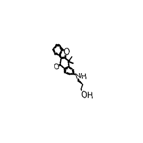 CC1(C)c2cc(NCCCO)ccc2C(=O)c2c1oc1ccccc21